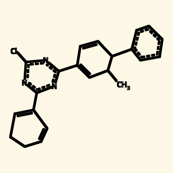 CC1C=C(c2nc(Cl)nc(C3=CCCC=C3)n2)C=CC1c1ccccc1